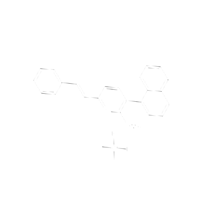 COc1[s+]c(C=Cc2ccccc2)ccc1-c1cccc2ccccc12.F[B-](F)(F)F